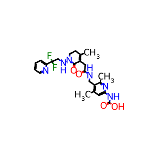 CC1=C(CC(=O)NCc2c(C)cc(NC(=O)O)nc2C)C(=O)N(NCC(F)(F)c2ccccn2)CC1